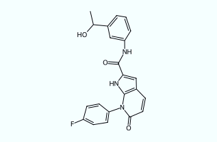 CC(O)c1cccc(NC(=O)c2cc3ccc(=O)n(-c4ccc(F)cc4)c3[nH]2)c1